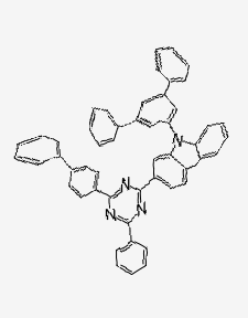 c1ccc(-c2ccc(-c3nc(-c4ccccc4)nc(-c4ccc5c6ccccc6n(-c6cc(-c7ccccc7)cc(-c7ccccc7)c6)c5c4)n3)cc2)cc1